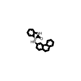 O=c1[nH]c2ccccc2n1Nc1ccc2ccc3ccccc3c2c1